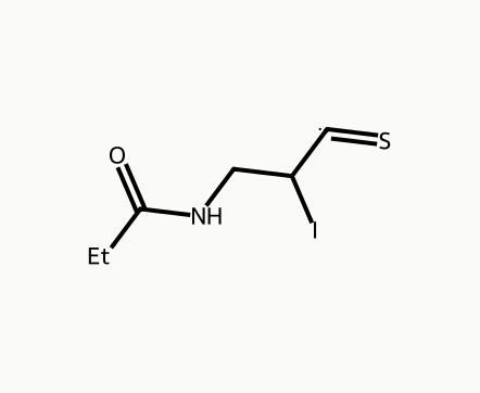 CCC(=O)NCC(I)[C]=S